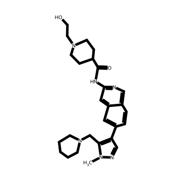 Cn1ncc(-c2ccc3cnc(NC(=O)C4CCN(CCO)CC4)cc3c2)c1CN1CCCCC1